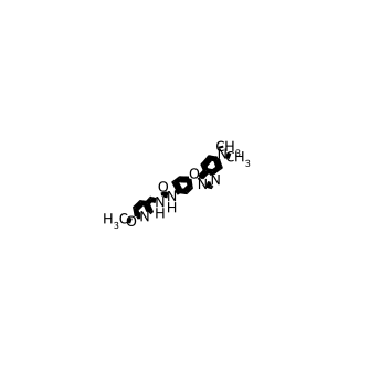 COc1ccc(CNC(=O)Nc2ccc(Oc3ncnc4cc(N(C)C)ccc34)cc2)cn1